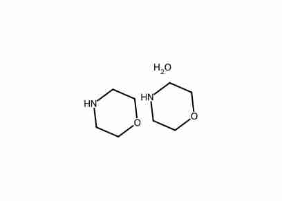 C1COCCN1.C1COCCN1.O